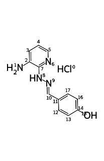 Cl.Nc1cccnc1N/N=C/c1ccc(O)cc1